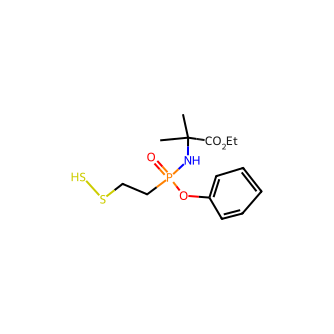 CCOC(=O)C(C)(C)NP(=O)(CCSS)Oc1ccccc1